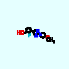 COC1CCN(c2ncc(-c3cccc(CO)c3F)cn2)CC1